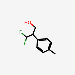 Cc1ccc(C(CO)C(F)F)cc1